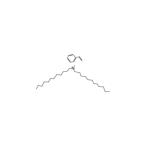 C=Cc1ccccc1.CCCCCCCCCCCCN(C)CCCCCCCCCCCC